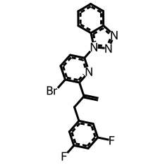 C=C(Cc1cc(F)cc(F)c1)c1nc(-n2nnc3ccccc32)ccc1Br